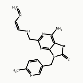 C=N/C=C\NCc1nc(N)c2[nH]c(=O)n(Cc3ccc(C)nc3)c2n1